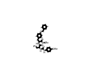 CSc1ccc(NC(=O)NC(CC(C)C)C(=O)NC(Cc2ccc(OCc3ccccc3)cc2)C(=O)OC(C)(C)C)cc1